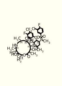 CC[C@H]1OC(=O)[C@H](C)[C@@H](O)[C@H](C)[C@@H](O[C@@H]2O[C@H](C)C[C@H](N(C)S(=O)(=O)c3ccc(F)c(Cl)c3)[C@H]2Oc2ccc(F)c(C(F)(F)F)c2)[C@](C)(O)C[C@@H](C)CN[C@H](C)[C@@H](O)[C@]1(C)O